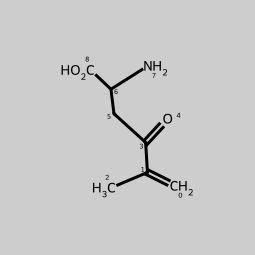 C=C(C)C(=O)CC(N)C(=O)O